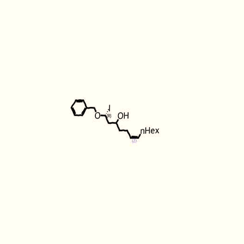 CCCCCC/C=C\CCC(O)C[C@@H](I)OCc1ccccc1